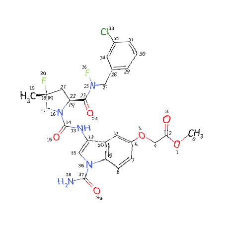 COC(=O)COc1ccc2c(c1)c(NC(=O)N1C[C@](C)(F)C[C@H]1C(=O)N(F)Cc1cccc(Cl)c1)cn2C(N)=O